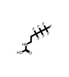 O=C(O)NCCC(F)(F)C(F)(F)C(F)(F)F